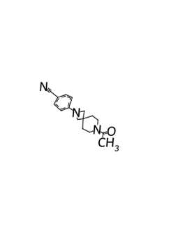 CC(=O)N1CCC2(CC1)CN(c1ccc(C#N)cc1)C2